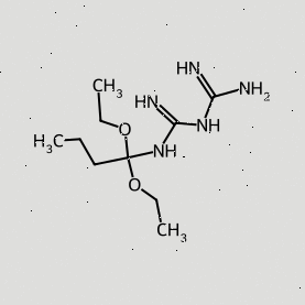 CCCC(NC(=N)NC(=N)N)(OCC)OCC